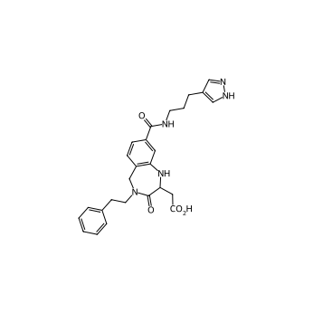 O=C(O)CC1Nc2cc(C(=O)NCCCc3cn[nH]c3)ccc2CN(CCc2ccccc2)C1=O